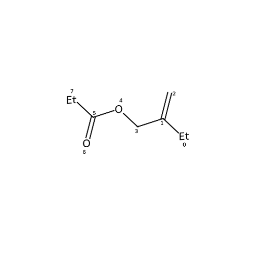 [CH2]CC(=C)COC(=O)CC